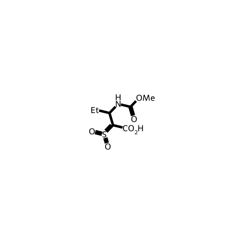 CCC(NC(=O)OC)C(C(=O)O)=S(=O)=O